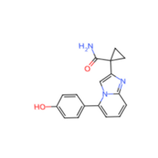 NC(=O)C1(c2cn3c(-c4ccc(O)cc4)cccc3n2)CC1